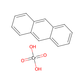 [O]=[Cr](=[O])([OH])[OH].c1ccc2cc3ccccc3cc2c1